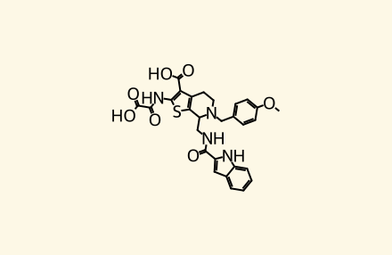 COc1ccc(CN2CCc3c(sc(NC(=O)C(=O)O)c3C(=O)O)C2CNC(=O)c2cc3ccccc3[nH]2)cc1